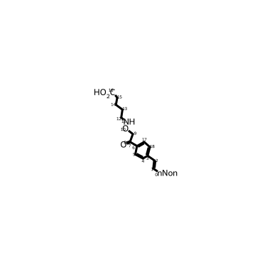 CCCCCCCCCC=Cc1ccc(C(=O)CONCCCCC(=O)O)cc1